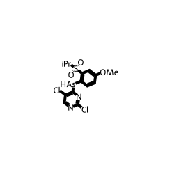 COc1ccc([AsH]c2nc(Cl)ncc2Cl)c(S(=O)(=O)C(C)C)c1